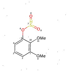 COc1cccc(O[SH](=O)=O)c1OC